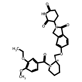 CCOc1cc(C(=O)N2CCCC[C@@H]2COc2ccc3c(c2)CN(C2CCC(=O)NC2=O)C3=O)ccc1OC